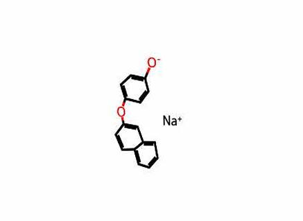 [Na+].[O-]c1ccc(Oc2ccc3ccccc3c2)cc1